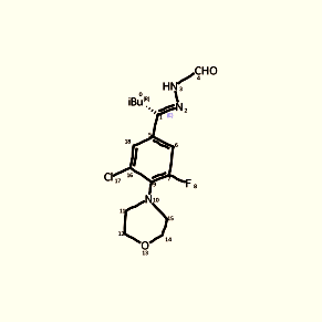 CC[C@@H](C)/C(=N\NC=O)c1cc(F)c(N2CCOCC2)c(Cl)c1